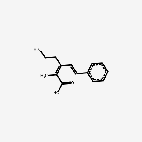 CCCC(C=Cc1ccccc1)=C(C)C(=O)O